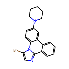 Brc1cnc2c3ccccc3c3cc(N4CCCCC4)ccc3n12